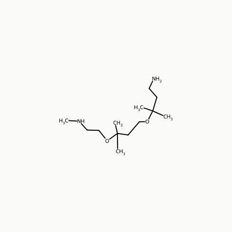 CNCCOC(C)(C)CCOC(C)(C)CCN